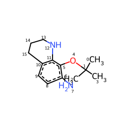 CC(C)(C)Oc1c(N)ccc2c1NCCC2